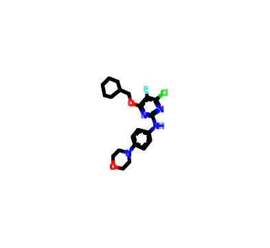 Fc1c(Cl)nc(Nc2ccc(N3CCOCC3)cc2)nc1OCC1CCCCC1